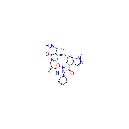 C=C(CN1Cc2c(-c3cc(C(=O)Nc4ccccc4)c4cnn(C)c4c3)ccc(N)c2C1=O)C(N)=O